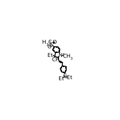 CCN(CC)c1ccc(/C=C/C2=[N+](C)c3ccc(S(C)(=O)=O)cc3C2(C)CC)cc1